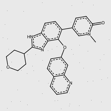 Cn1cc(-c2ccc3[nH]c(C4CCOCC4)nc3c2Oc2ccc3cccnc3c2)ccc1=O